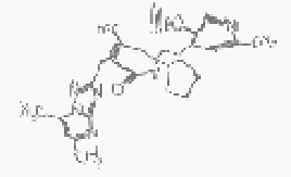 COc1cnc(C)cc1CCC1(C2CCCC2)CC(O)=C(Cc2nc3nc(C)cc(C)n3n2)C(=O)O1